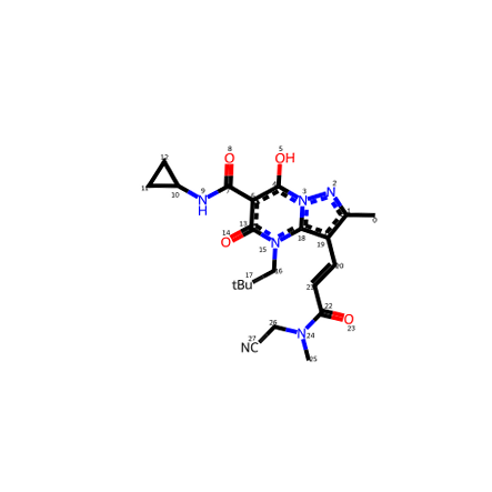 Cc1nn2c(O)c(C(=O)NC3CC3)c(=O)n(CC(C)(C)C)c2c1C=CC(=O)N(C)CC#N